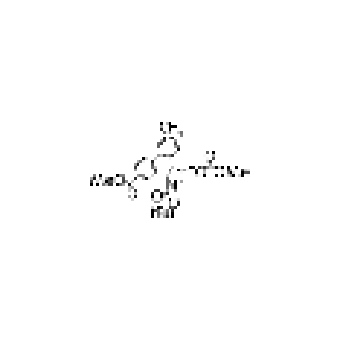 COC(=O)OC[C@H]1CN(C(=O)OC(C)(C)C)C[C@@H]1c1ccc(C(F)(F)F)cc1-c1ccc(C(=O)OC)cc1